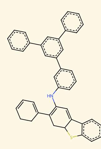 C1=CCCC(C2=C(Nc3cccc(-c4cc(-c5ccccc5)cc(-c5ccccc5)c4)c3)C=C3c4ccccc4SC3C2)=C1